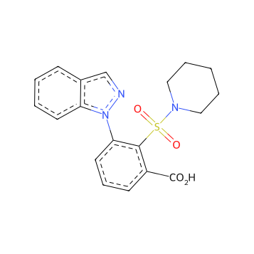 O=C(O)c1cccc(-n2ncc3ccccc32)c1S(=O)(=O)N1CCCCC1